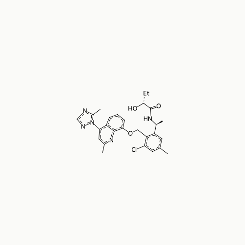 CC[C@@H](O)C(=O)N[C@@H](C)c1cc(C)cc(Cl)c1COc1cccc2c(-n3ncnc3C)cc(C)nc12